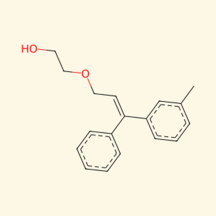 Cc1cccc(C(=CCOCCO)c2ccccc2)c1